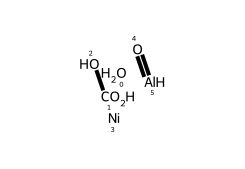 O.O=C(O)O.[Ni].[O]=[AlH]